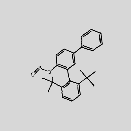 CC(C)(C)c1cccc(C(C)(C)C)c1-c1cc(-c2ccccc2)ccc1OP=O